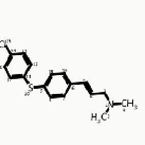 CN(C)CC=Cc1ccc(Sc2ccc(Cl)cc2)cc1